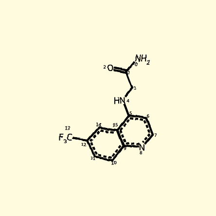 NC(=O)CNc1ccnc2ccc(C(F)(F)F)cc12